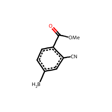 Bc1ccc(C(=O)OC)c(C#N)c1